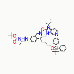 CCC(C)n1c(=O)n(Cc2ncc3cc(N(C)C[C@@H](C)NC(=O)OC(C)(C)C)ccc3c2CCCCO[Si](c2ccccc2)(c2ccccc2)C(C)(C)C)c2cnccc21